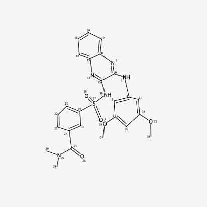 COc1cc(Nc2nc3ccccc3nc2NS(=O)(=O)c2cccc(C(=O)N(C)C)c2)cc(OC)c1